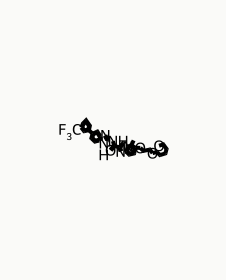 Cc1c(OCCOC2CCCCO2)ccc2nc(C(=O)Nc3nc4cc(-c5cccc(C(F)(F)F)c5)ccc4[nH]3)cn12